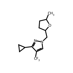 CC1CCC(Cn2cc(C(F)(F)F)c(C3CC3)n2)O1